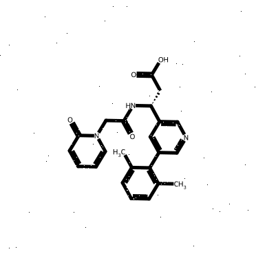 Cc1cccc(C)c1-c1cncc([C@@H](CC(=O)O)NC(=O)Cn2ccccc2=O)c1